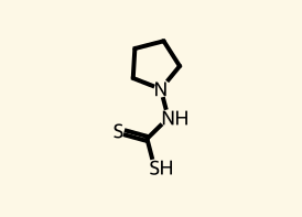 S=C(S)NN1CCCC1